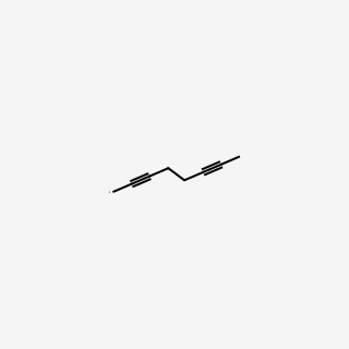 [CH2]C#CCCC#CC